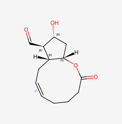 O=C[C@@H]1[C@H]2C/C=C\CCCC(=O)O[C@H]2C[C@H]1O